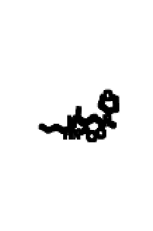 CCCCc1nc(C)c(CC(=O)N(C)C2CCOCC2)c(=O)[nH]1